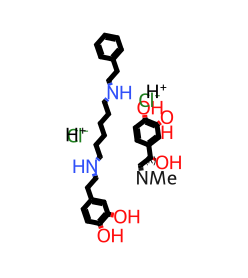 CNC[C@H](O)c1ccc(O)c(O)c1.Oc1ccc(CCNCCCCCCNCCc2ccccc2)cc1O.[Cl-].[Cl-].[H+].[H+]